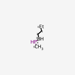 CCCCBPC